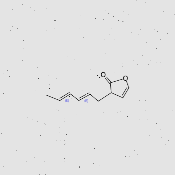 C/C=C/C=C/CC1C=COC1=O